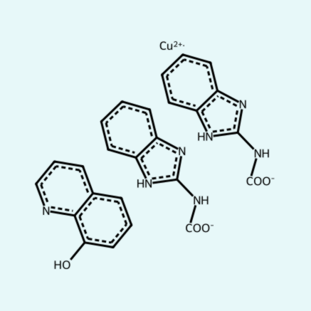 O=C([O-])Nc1nc2ccccc2[nH]1.O=C([O-])Nc1nc2ccccc2[nH]1.Oc1cccc2cccnc12.[Cu+2]